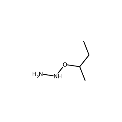 CCC(C)ONN